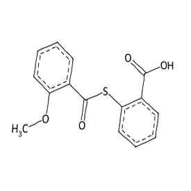 COc1ccccc1C(=O)Sc1ccccc1C(=O)O